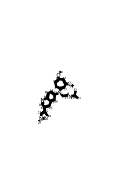 COC1=CCC(N(CCNC(C)C)c2ccc3ncc(-c4cnn(C)c4)cc3c2)=CC(OC)=C1